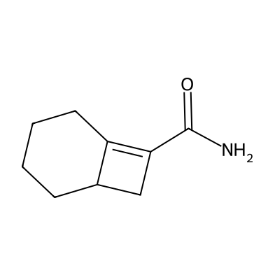 NC(=O)C1=C2CCCCC2C1